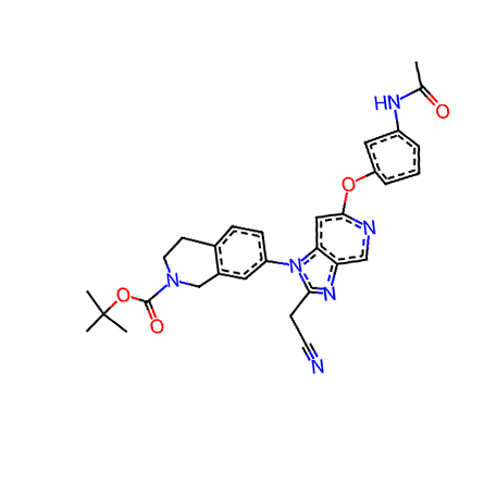 CC(=O)Nc1cccc(Oc2cc3c(cn2)nc(CC#N)n3-c2ccc3c(c2)CN(C(=O)OC(C)(C)C)CC3)c1